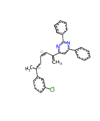 C=C(/C=C\C=C(/C)c1cccc(Cl)c1)c1cc(-c2ccccc2)nc(-c2ccccc2)n1